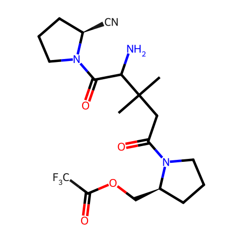 CC(C)(CC(=O)N1CCC[C@H]1COC(=O)C(F)(F)F)C(N)C(=O)N1CCC[C@H]1C#N